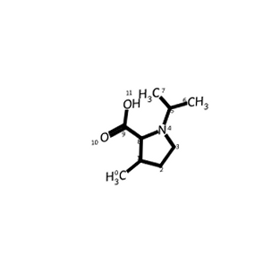 CC1CCN(C(C)C)C1C(=O)O